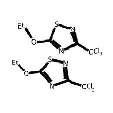 CCOc1nc(C(Cl)(Cl)Cl)ns1.CCOc1nc(C(Cl)(Cl)Cl)ns1